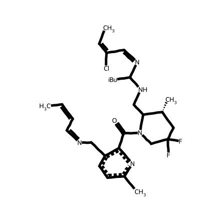 C/C=C\C=N/Cc1ccc(C)nc1C(=O)N1CC(F)(F)C[C@@H](C)C1CNC(/N=C\C(Cl)=C/C)C(C)CC